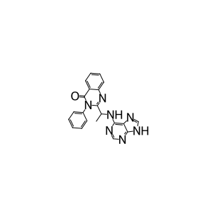 CC(Nc1ncnc2[nH]cnc12)c1nc2ccccc2c(=O)n1-c1ccccc1